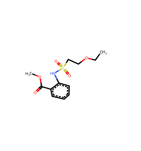 CCOCCS(=O)(=O)Nc1ccccc1C(=O)OC